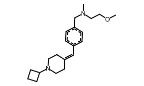 COCCN(C)Cc1ccc(C=C2CCN(C3CCC3)CC2)cc1